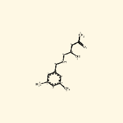 CC(=O)CC(O)CNCc1cc(C)cc(C)c1